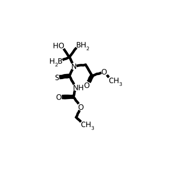 BC(B)(O)N(CC(=O)OC)C(=S)NC(=O)OCC